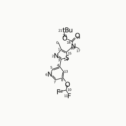 Cc1nc(-c2cncc(OC(F)F)c2)sc1N(C)C(=O)OC(C)(C)C